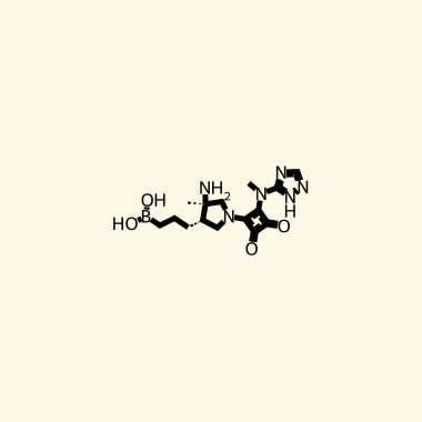 CN(c1ncn[nH]1)c1c(N2C[C@H](CCCB(O)O)[C@@](C)(N)C2)c(=O)c1=O